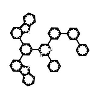 c1ccc(-c2cccc(-c3cccc(-c4cc(-c5cc(-c6cccc7c6sc6ccccc67)cc(-c6cccc7c6sc6ccccc67)c5)nc(-c5ccccc5)n4)c3)c2)cc1